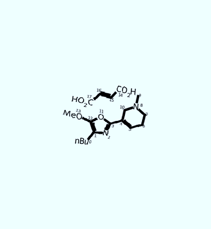 CCCCc1nc(C2=CCCN(C)C2)oc1OC.O=C(O)C=CC(=O)O